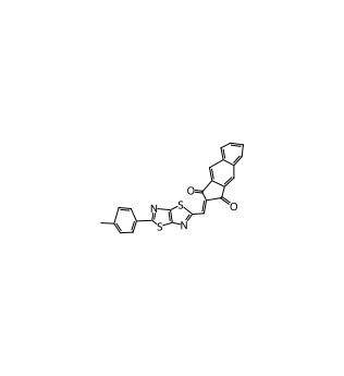 Cc1ccc(-c2nc3sc(C=C4C(=O)c5cc6ccccc6cc5C4=O)nc3s2)cc1